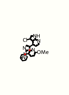 COc1ccc(CN2C3CC2CN(c2ncc(-c4ccnc5[nH]cc(Cl)c45)s2)C3)cn1